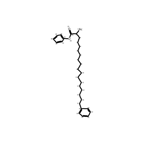 CC(=O)C(CCCCCCCCCCCCCCCCc1ccccc1)C(=O)Oc1ccccc1